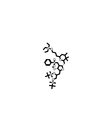 CC[Si](CC)(CC)OCCCC1CC(C)C(C)(C)C(C[C@@H]2OC(CC(CO[Si](C)(C)C(C)(C)C)O[Si](C)(C)C(C)(C)C)[C@H](OC)C2CS(=O)(=O)c2ccccc2)O1